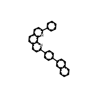 c1ccc(-c2ccc3ccc4ccc(-c5ccc(-c6ccc7ccccc7c6)cc5)nc4c3n2)cc1